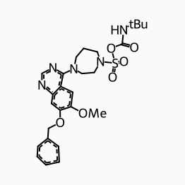 COc1cc2c(N3CCCN(S(=O)(=O)OC(=O)NC(C)(C)C)CC3)ncnc2cc1OCc1ccccc1